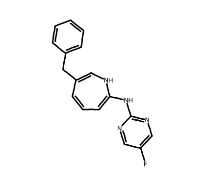 Fc1cnc(NC2=CC=CC(Cc3ccccc3)=CN2)nc1